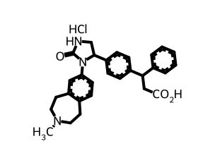 CN1CCc2ccc(N3C(=O)NCC3c3ccc(C(CC(=O)O)c4ccccc4)cc3)cc2CC1.Cl